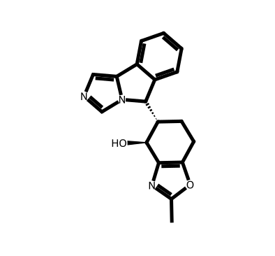 Cc1nc2c(o1)CC[C@@H](C1c3ccccc3-c3cncn31)[C@@H]2O